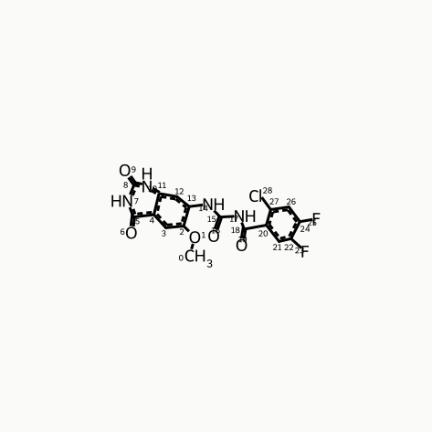 COc1cc2c(=O)[nH]c(=O)[nH]c2cc1NC(=O)NC(=O)c1cc(F)c(F)cc1Cl